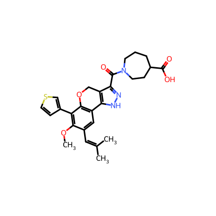 COc1c(C=C(C)C)cc2c(c1-c1ccsc1)OCc1c(C(=O)N3CCCC(C(=O)O)CC3)n[nH]c1-2